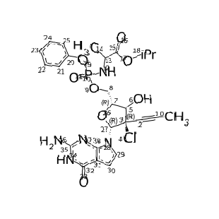 CC#C[C@@]1(Cl)C(O)[C@@H](COP(=O)(NC(C)C(=O)OC(C)C)Oc2ccccc2)O[C@H]1n1ccc2c(=O)[nH]c(N)nc21